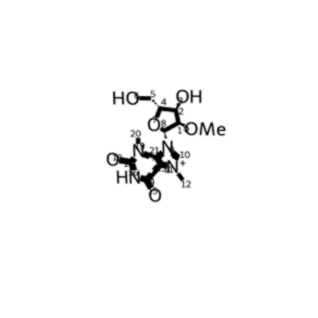 CO[C@@H]1[C@H](O)[C@@H](CO)O[C@H]1n1c[n+](C)c2c(=O)[nH]c(=O)n(C)c21